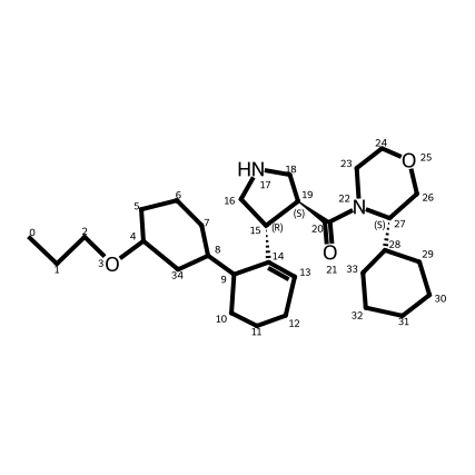 CCCOC1CCCC(C2CCCC=C2[C@@H]2CNC[C@H]2C(=O)N2CCOC[C@@H]2C2CCCCC2)C1